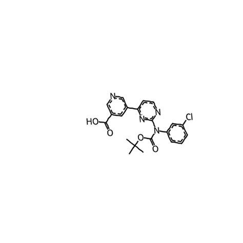 CC(C)(C)OC(=O)N(c1cccc(Cl)c1)c1nccc(-c2cncc(C(=O)O)c2)n1